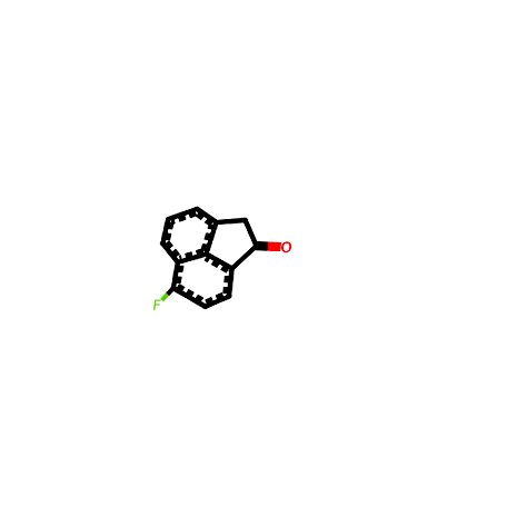 O=C1Cc2cccc3c(F)ccc1c23